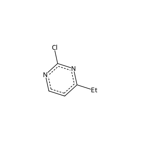 CCc1ccnc(Cl)n1